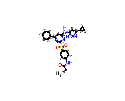 CCC(=O)Nc1ccc(S(=O)(=O)c2nc(Nc3cc(C4CC4)n[nH]3)cc(-c3ccccc3)n2)cc1